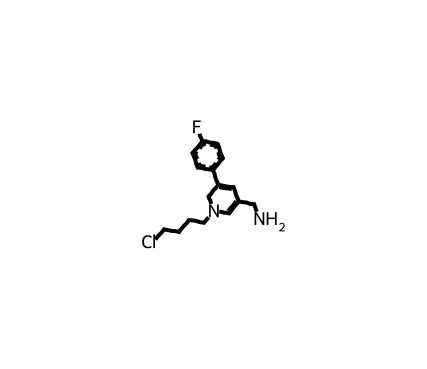 NCC1=CN(CCCCCl)CC(c2ccc(F)cc2)=C1